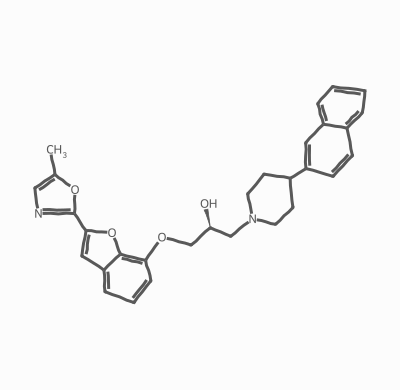 Cc1cnc(-c2cc3cccc(OC[C@@H](O)CN4CCC(c5ccc6ccccc6c5)CC4)c3o2)o1